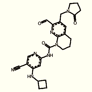 N#Cc1cnc(NC(=O)N2CCCc3cc(CN4CCCC4=O)c(C=O)nc32)cc1NC1CCC1